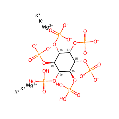 O=P([O-])([O-])O[C@@H]1[C@H](OP(=O)([O-])[O-])[C@H](OP(=O)([O-])[O-])[C@@H](OP(=O)(O)O)[C@H](OP(=O)(O)O)[C@H]1OP(=O)([O-])[O-].[K+].[K+].[K+].[K+].[Mg+2].[Mg+2]